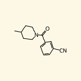 CC1CCN(C(=O)c2cccc(C#N)c2)CC1